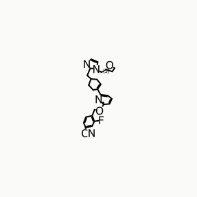 N#Cc1ccc(COc2cccc(C3=CCC(Cc4nccn4C[C@@H]4CCO4)CC3)n2)c(F)c1